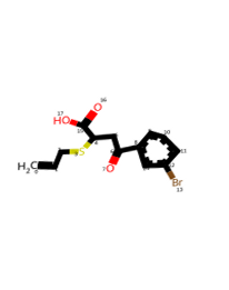 C=CCSC(CC(=O)c1cccc(Br)c1)C(=O)O